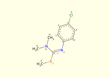 CS/C(=N/c1ccc(Cl)cc1)N(C)C